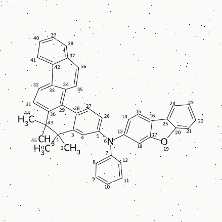 CC1(C)c2cc(N(c3ccccc3)c3ccc4c(c3)oc3ccccc34)ccc2-c2c(ccc3c2ccc2ccccc23)C1(C)C